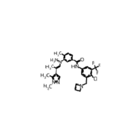 C/C(=C\N(N)c1cc(C(=O)Nc2cc(CN3CCC3)c(Cl)c(C(F)(F)F)c2)ccc1C)c1cnn(C)c1C